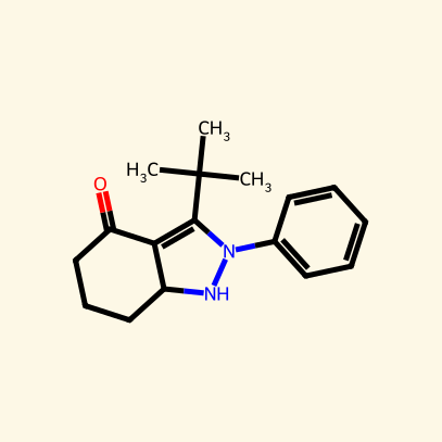 CC(C)(C)C1=C2C(=O)CCCC2NN1c1ccccc1